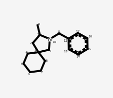 CC1CC2(CCCCC2)CN1Cc1ccccc1